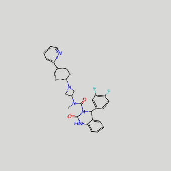 CN(C(=O)N1C(=O)Nc2ccccc2C1c1ccc(F)c(F)c1)C1CN(C2CCC(c3ccccn3)CC2)C1